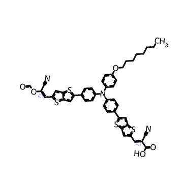 CCCCCCCCOc1ccc(N(c2ccc(-c3cc4sc(/C=C(\C#N)OC=O)cc4s3)cc2)c2ccc(-c3cc4sc(/C=C(\C#N)C(=O)O)cc4s3)cc2)cc1